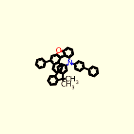 CC1(C)c2ccccc2-c2ccc(N(c3ccc(-c4ccccc4)cc3)c3cccc4oc5cc(-c6ccccc6)c6ccccc6c5c34)cc21